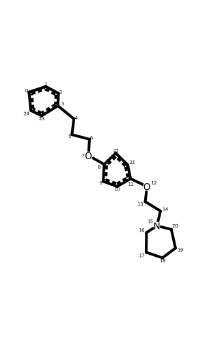 c1ccc(CCCOc2ccc(OCCN3CCCCC3)cc2)cc1